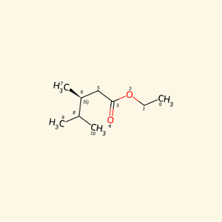 CCOC(=O)C[C@H](C)C(C)C